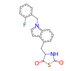 O=C1NC(Cc2cccc3c2ccn3Cc2ccccc2F)C(=O)S1